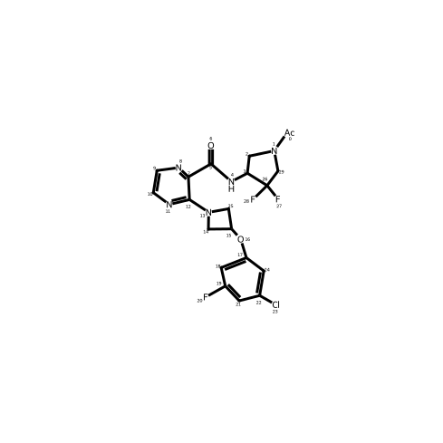 CC(=O)N1CC(NC(=O)c2nccnc2N2CC(Oc3cc(F)cc(Cl)c3)C2)C(F)(F)C1